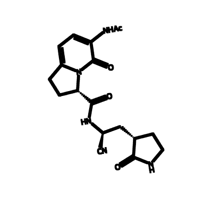 CC(=O)Nc1ccc2n(c1=O)[C@H](C(=O)N[C@H](C#N)C[C@@H]1CCNC1=O)CC2